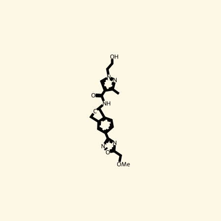 COCc1nc(-c2ccc3c(c2)CCC3NC(=O)c2cn(CCO)nc2C)no1